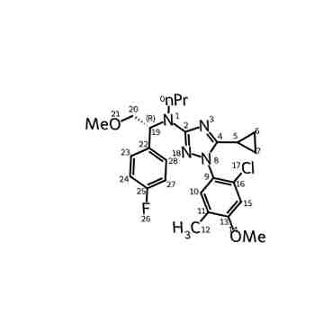 CCCN(c1nc(C2CC2)n(-c2cc(C)c(OC)cc2Cl)n1)[C@@H](COC)c1ccc(F)cc1